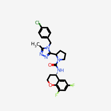 Cc1nnc(C2CCCN2C(=O)N[C@H]2CCOc3c(F)cc(F)cc32)n1Cc1ccc(Cl)cc1